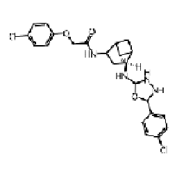 O=C(COc1ccc(Cl)cc1)NC1C[C@H](NC2NNC(c3ccc(Cl)cc3)O2)C2CC1C2